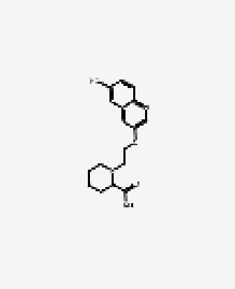 NC(=O)C1C[CH]CCN1CCOc1cnc2ccc(O)cc2n1